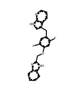 Fc1cc(OCc2nc3ccccc3[nH]2)c(F)cc1Cc1c[nH]c2ncccc12